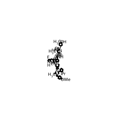 CCOc1nc2[nH]cc(F)c2cc1Oc1cc(N2CCC3(CC2)CC(N2CC(C)N(Cc4ccc(OC)cc4)CC2c2ccccc2C(C)C)C3)ccc1C(=O)NS(=O)(=O)c1cnc(NC[C@H]2CC[C@](C)(O)CC2)c([NH+](C)[O-])c1